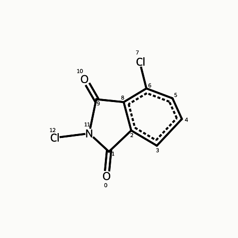 O=C1c2cccc(Cl)c2C(=O)N1Cl